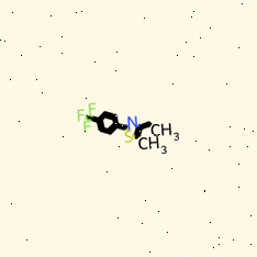 CCc1nc(-c2ccc(C(F)(F)F)cc2)sc1C